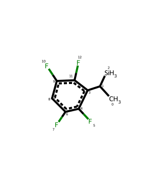 CC([SiH3])c1c(F)c(F)cc(F)c1F